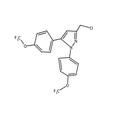 FC(F)(F)Oc1ccc(-c2cc(CCl)nn2-c2ccc(OC(F)(F)F)cc2)cc1